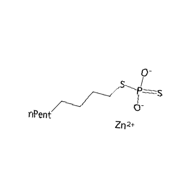 CCCCCCCCCSP([O-])([O-])=S.[Zn+2]